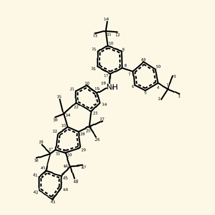 CC(C)(C)c1ccc(-c2cc(C(C)(C)C)ccc2Nc2ccc3c(c2)C(C)(C)c2cc4c(cc2C3(C)C)C(C)(C)c2ccccc2C4(C)C)cc1